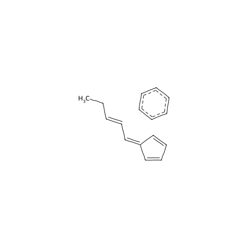 CCC=CC=C1C=CC=C1.c1ccccc1